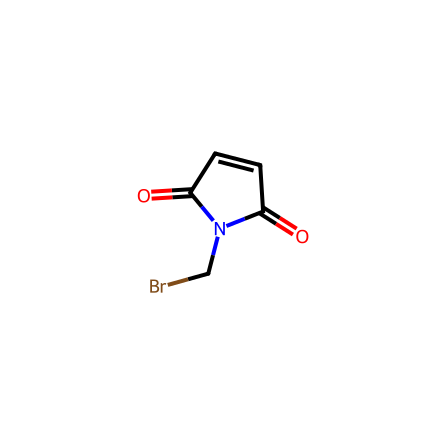 O=C1C=CC(=O)N1CBr